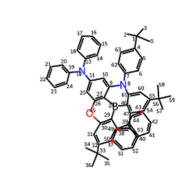 CC(C)(C)c1ccc(N2c3cc(N(c4ccccc4)c4ccccc4)cc4c3B(c3c(cc(C(C)(C)C)cc3-c3ccccc3)O4)c3c(-c4ccccc4)cc(C(C)(C)C)cc32)cc1